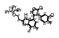 CC(C)[Si](OCCc1nc2c(F)c(F)cc(-c3noc(=O)n3-c3ccc(F)c(Cl)c3)c2[nH]1)(C(C)C)C(C)C